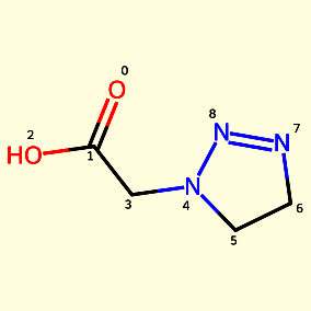 O=C(O)CN1CCN=N1